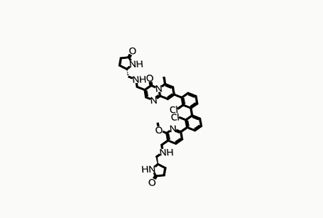 COc1nc(-c2cccc(-c3cccc(-c4cc(C)n5c(=O)c(CNC[C@@H]6CCC(=O)N6)cnc5c4)c3Cl)c2Cl)ccc1CNC[C@H]1CCC(=O)N1